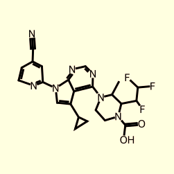 CC1C(C(F)C(F)F)N(C(=O)O)CCN1c1ncnc2c1c(C1CC1)cn2-c1cc(C#N)ccn1